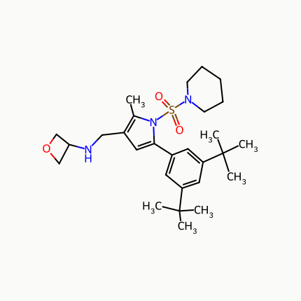 Cc1c(CNC2COC2)cc(-c2cc(C(C)(C)C)cc(C(C)(C)C)c2)n1S(=O)(=O)N1CCCCC1